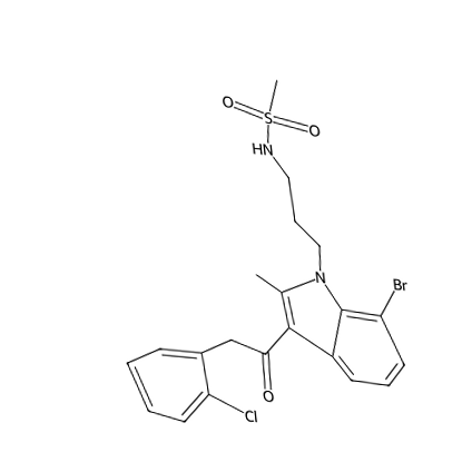 Cc1c(C(=O)Cc2ccccc2Cl)c2cccc(Br)c2n1CCCNS(C)(=O)=O